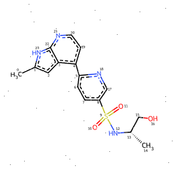 Cc1cc2c(-c3ccc(S(=O)(=O)N[C@@H](C)CO)cn3)ccnc2[nH]1